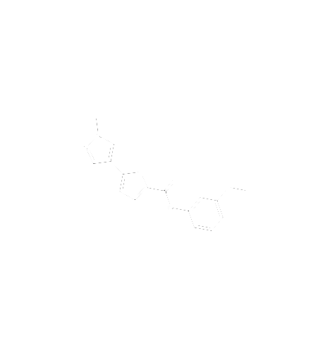 COc1cccc(NC(=O)c2ccc(-c3cnn(C)c3)o2)c1